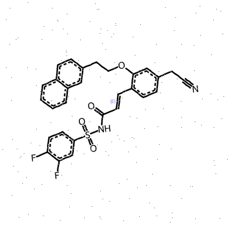 N#CCc1ccc(/C=C/C(=O)NS(=O)(=O)c2ccc(F)c(F)c2)c(OCCc2ccc3ccccc3c2)c1